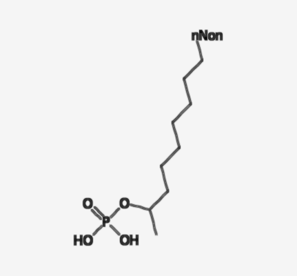 CCCCCCCCCCCCCCCCC(C)OP(=O)(O)O